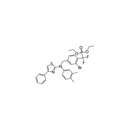 CCOP(=O)(OCC)C(F)(F)c1ccc(CN(c2ccc(C)c(C)c2)c2nc(-c3ccccc3)cs2)cc1Br